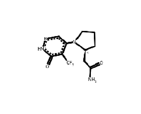 NC(=O)C[C@@H]1CCCN1c1cn[nH]c(=O)c1C(F)(F)F